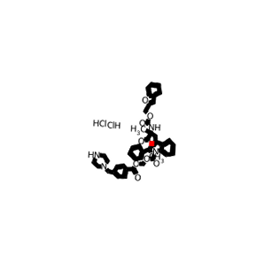 CC(NC(=O)C(C)(Cc1cn(C(=O)OCOC(=O)c2ccc(CN3CCNCC3)cc2)c2ccccc12)NC(=O)OCc1cc2ccccc2o1)c1ccccc1.Cl.Cl